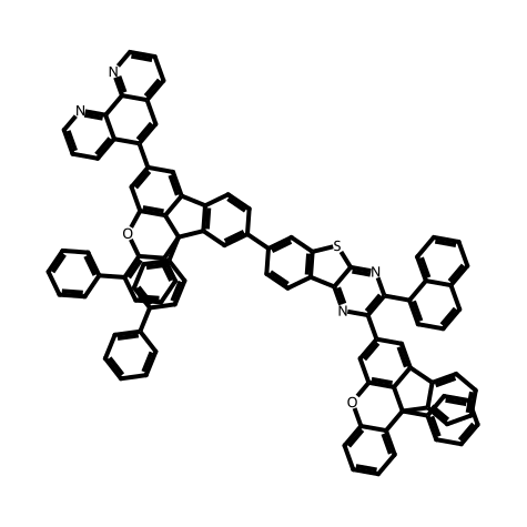 c1ccc(-c2ccc(C34c5cc(-c6ccc7c(c6)sc6nc(-c8cccc9ccccc89)c(-c8cc9c%10c(c8)-c8ccccc8C%10(c8ccccc8)c8ccccc8O9)nc67)ccc5-c5cc(-c6cc7cccnc7c7ncccc67)cc(c53)Oc3c(-c5ccccc5)cccc34)cc2)cc1